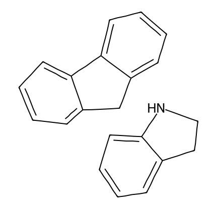 c1ccc2c(c1)CCN2.c1ccc2c(c1)Cc1ccccc1-2